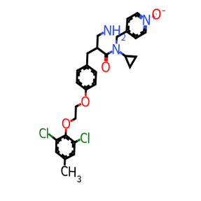 Cc1cc(Cl)c(OCCOc2ccc(CC(CN)C(=O)N(Cc3cc[n+]([O-])cc3)C3CC3)cc2)c(Cl)c1